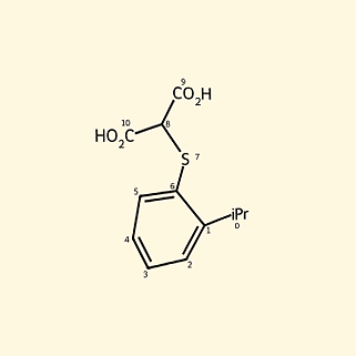 CC(C)c1ccccc1SC(C(=O)O)C(=O)O